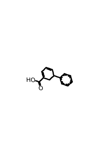 O=C(O)C1=CC=CC(c2ccccc2)C1